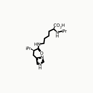 CC(C)N[C@@H](CCCCNC(=O)[C@@H](Cc1c[nH]cn1)C(C)C)C(=O)O